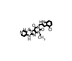 CCn1c(=O)n(Cc2cc3c(Cl)cccc3[nH]2)c(=O)c2c1nc(Nc1ccncc1)n2C